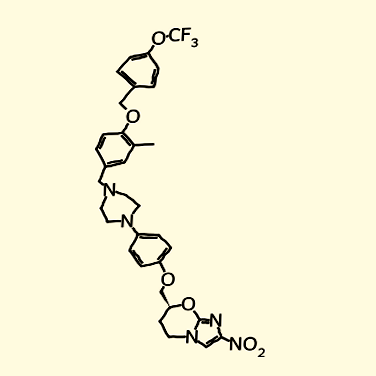 Cc1cc(CN2CCN(c3ccc(OC[C@@H]4CCn5cc([N+](=O)[O-])nc5O4)cc3)CC2)ccc1OCc1ccc(OC(F)(F)F)cc1